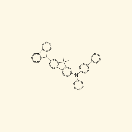 CC1(C)c2cc(C3c4ccccc4-c4ccccc43)ccc2-c2ccc(N(c3ccccc3)c3ccc(-c4ccccc4)cc3)cc21